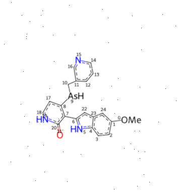 COc1ccc2[nH]c(-c3c([AsH]Cc4cccnc4)cc[nH]c3=O)cc2c1